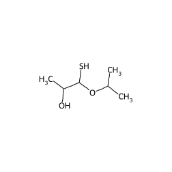 CC(C)OC(S)C(C)O